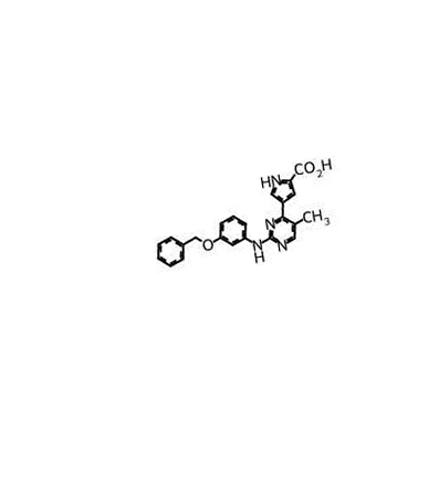 Cc1cnc(Nc2cccc(OCc3ccccc3)c2)nc1-c1c[nH]c(C(=O)O)c1